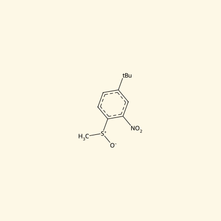 C[S+]([O-])c1ccc(C(C)(C)C)cc1[N+](=O)[O-]